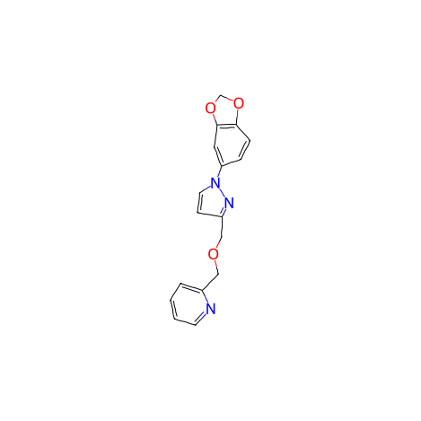 c1ccc(COCc2ccn(-c3ccc4c(c3)OCO4)n2)nc1